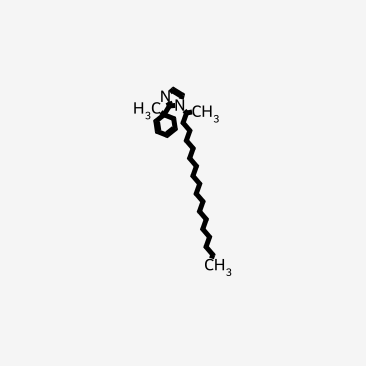 CCCCCCCCCCCCCCCCCC(C)n1ccnc1C1(C)C=CC=CC1